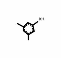 Cc1cc(C)cc(C)c1.[KH]